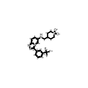 O=S1(=O)CCC(CNc2ccc3nnc(-c4cccc(C(F)(F)F)c4)n3c2)CC1